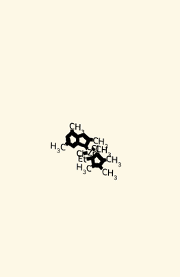 CC[C]1([Zr]([Cl])([Cl])[CH]2C(C)=Cc3c(C)cc(C)cc32)C(C)=C(C)C(C)=C1C